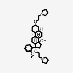 COc1ccccc1[C@]1(OCCN2CCCC2)CC[C@]2(O)[C@@H]3CC[C@@H]4C[C@@H](OCCN5CCCC5)CC[C@]4(C)[C@H]3CC[C@]12C